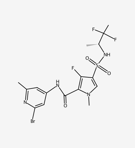 Cc1cc(NC(=O)c2c(F)c(S(=O)(=O)N[C@H](C)C(C)(F)F)cn2C)cc(Br)n1